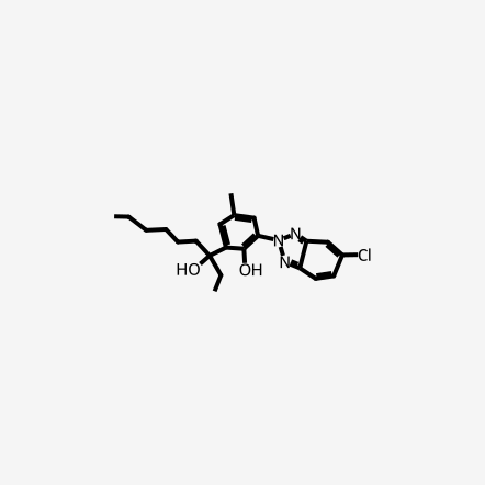 CCCCCCC(O)(CC)c1cc(C)cc(-n2nc3ccc(Cl)cc3n2)c1O